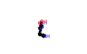 O=C(NO)c1cnc2c(c1)CCN(CCc1cccc(C3CCNCC3)c1)C2